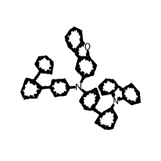 c1ccc(-c2ccccc2-c2ccc(N(c3ccc(-c4ccccc4-n4c5ccccc5c5ccccc54)cc3)c3ccc4oc5ccccc5c4c3)cc2)cc1